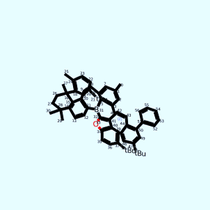 Cc1cc(C)c2c(c1)C=Cc1c(ccc3c1C(C)(c1cc(C(C)(C)C)ccc1C)CCC3(C)C)B2c1oc2ccc(C(C)(C)C)cc2c1/C=C\c1ccc(C(C)(C)C)cc1-c1ccccc1